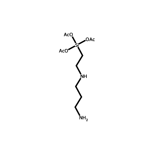 CC(=O)O[Si](CCNCCCN)(OC(C)=O)OC(C)=O